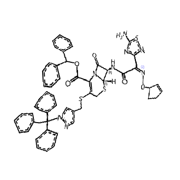 Nc1nc(/C(=N/OC2C=CCC2)C(=O)N[C@@H]2C(=O)N3C(C(=O)OC(c4ccccc4)c4ccccc4)=C(SCc4cnn(C(c5ccccc5)(c5ccccc5)c5ccccc5)c4)CS[C@@H]23)ns1